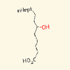 CCCCCCCCCC(O)CCCCC(=O)O